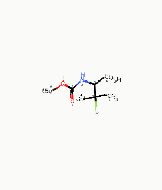 CC(C)(C)OC(=O)NC(C(=O)O)C(C)(C)F